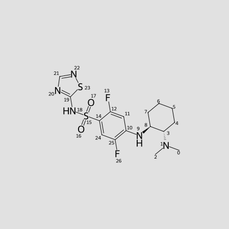 CN(C)[C@H]1CCCC[C@@H]1Nc1cc(F)c(S(=O)(=O)Nc2ncns2)cc1F